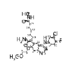 COCCOc1cc2ncnc(Nc3ccc(F)c(Cl)c3)c2cc1C(CCCCCC(=O)NO)C(N)=O